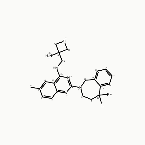 Cc1ccc2nc(N3CCC(F)(F)c4ccccc4C3)nc(NCC3(N)COC3)c2c1